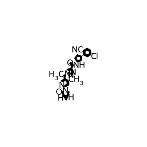 Cc1cc(N2C[C@H]3C[C@H]3C2=O)ncc1[C@@H](C)n1cc(C(=O)N[C@@H]2CC[C@H](c3cc(Cl)ccc3C#N)C2)nn1